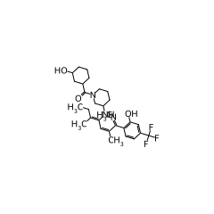 CC/C(C)=C(/C=C(C)\C(=N/C)c1ccc(C(F)(F)F)cc1O)NC1CCCN(C(=O)C2CCCC(O)C2)C1